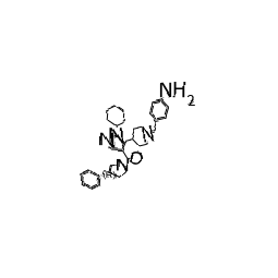 Nc1ccc(CN2CCC(c3c(C(=O)N4CC[C@H](c5ccccc5)C4)cnn3C3CCCCC3)CC2)cc1